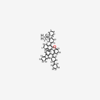 CC1(C)c2ccccc2-c2ccc(-c3c4ccccc4cc4c3oc3cccc(C(c5ccc(-c6ccccc6)cc5)c5cccc6c5Cc5ccccc5-6)c34)cc21